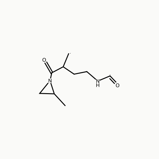 [CH2]C(CCN[C]=O)C(=O)N1CC1C